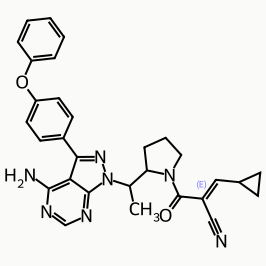 CC(C1CCCN1C(=O)/C(C#N)=C/C1CC1)n1nc(-c2ccc(Oc3ccccc3)cc2)c2c(N)ncnc21